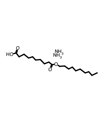 CCCCCCCCCCOC(=O)CCCCCCCCC(=O)O.N.N